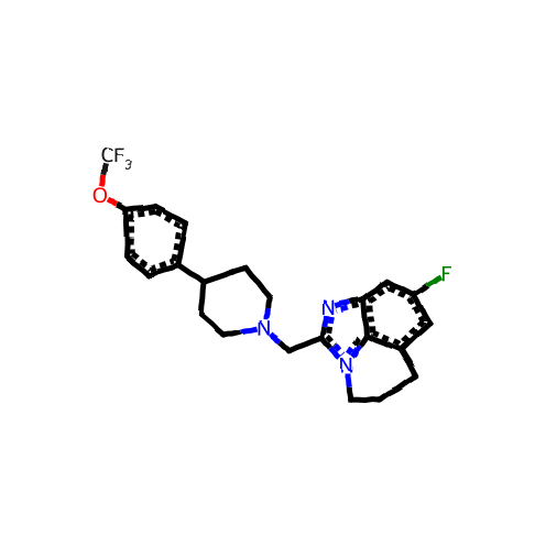 Fc1cc2c3c(c1)nc(CN1CCC(c4ccc(OC(F)(F)F)cc4)CC1)n3CCC2